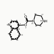 O=C(Oc1ccnc2ccccc12)N1CCNCC1